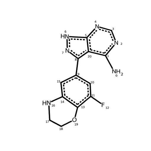 Nc1ncnc2[nH]nc(-c3cc(F)c4c(c3)NCCO4)c12